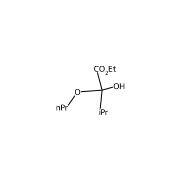 CCCOC(O)(C(=O)OCC)C(C)C